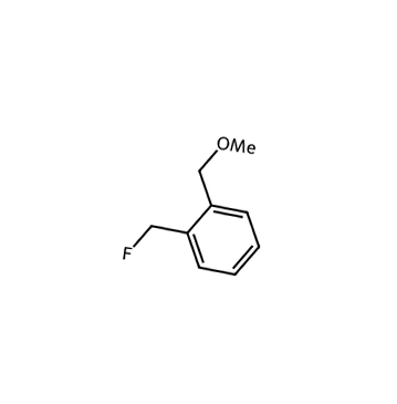 COCc1ccccc1CF